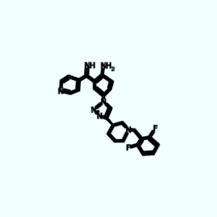 N=C(c1ccncc1)c1cc(-n2cc([C@@H]3CCCN(Cc4c(F)cccc4F)C3)nn2)ccc1N